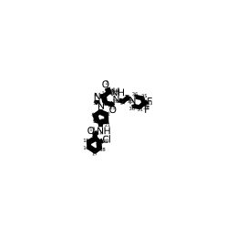 NC(=O)c1ncn(-c2ccc(NC(=O)c3ccccc3Cl)cc2)c1C(=O)NCCN1CCC(F)(F)CC1